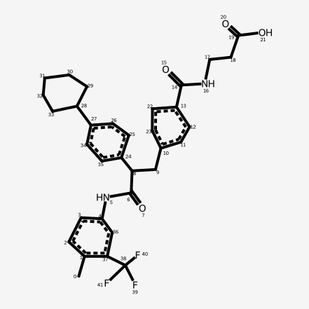 Cc1ccc(NC(=O)C(Cc2ccc(C(=O)NCCC(=O)O)cc2)c2ccc(C3CCCCC3)cc2)cc1C(F)(F)F